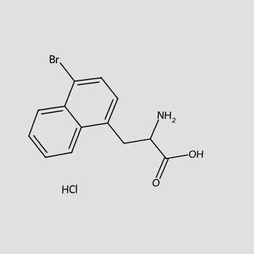 Cl.NC(Cc1ccc(Br)c2ccccc12)C(=O)O